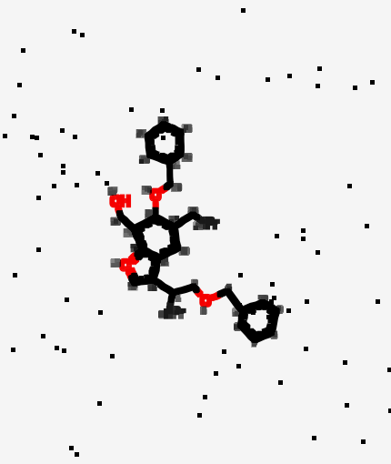 CCCC(COCc1ccccc1)c1coc2c(CO)c(OCc3ccccc3)c(CC(C)C)cc12